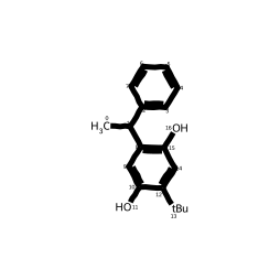 CC(c1ccccc1)c1cc(O)c(C(C)(C)C)cc1O